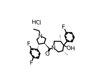 CCN1C[C@@H](C(=O)N2C[C@@H](C)C(O)(c3cccc(F)c3)[C@@H](C)C2)[C@H](c2ccc(F)cc2F)C1.Cl